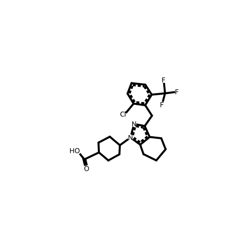 O=C(O)C1CCC(n2nc(Cc3c(Cl)cccc3C(F)(F)F)c3c2CCCC3)CC1